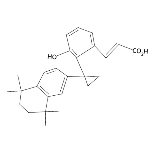 CC1(C)CCC(C)(C)c2cc(C3(c4c(O)cccc4C=CC(=O)O)CC3)ccc21